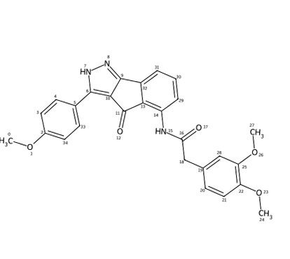 COc1ccc(-c2[nH]nc3c2C(=O)c2c(NC(=O)Cc4ccc(OC)c(OC)c4)cccc2-3)cc1